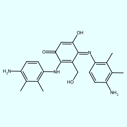 Cc1c(N)ccc(/N=C2/C(O)=CC(=O)C(Nc3ccc(N)c(C)c3C)=C2CO)c1C